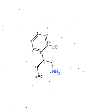 CC(=O)C[C@H](CN)c1ccccc1Cl